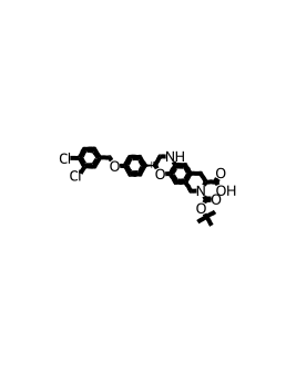 CC(C)(C)OC(=O)N1Cc2cc3c(cc2CC1C(=O)O)NC[C@H](c1ccc(OCc2ccc(Cl)c(Cl)c2)cc1)O3